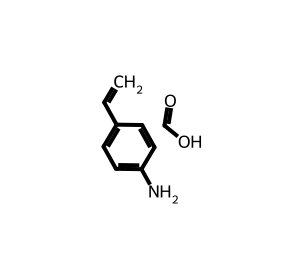 C=Cc1ccc(N)cc1.O=CO